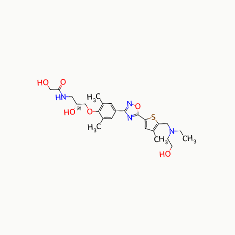 CCN(CCO)Cc1sc(-c2nc(-c3cc(C)c(OC[C@H](O)CNC(=O)CO)c(C)c3)no2)cc1C